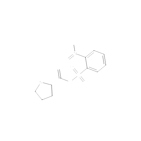 O=C(OS(=O)(=O)c1ccccc1[N+](=O)[O-])[C@@H]1CCCN1